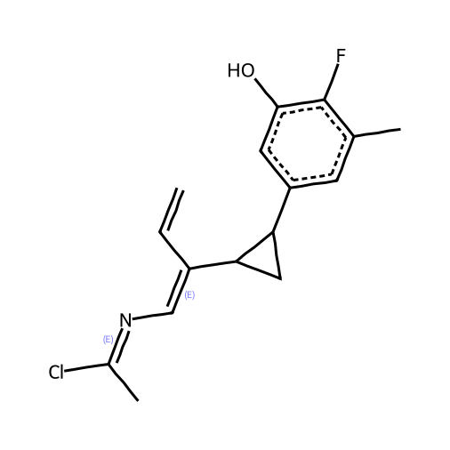 C=C/C(=C\N=C(/C)Cl)C1CC1c1cc(C)c(F)c(O)c1